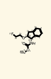 CC(C)(C)OC(=O)N[C@H]1c2ccccc2C[C@@H]1OCCF